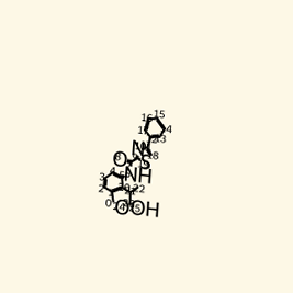 Cc1cccc(NC(=O)c2nc(-c3ccccc3)cs2)c1C(C)C(=O)O